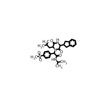 CC(C)CC1C(=O)NC(C2Cc3ccccc3C2)C(=O)N1C(C(=O)NC(C)C)c1ccc(S(C)(=O)=O)cc1